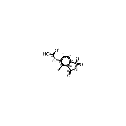 Cc1c(OC(=O)O)ccc2c1C(=O)NS2(=O)=O